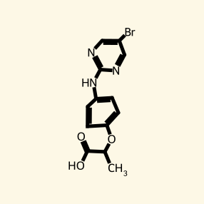 CC(Oc1ccc(Nc2ncc(Br)cn2)cc1)C(=O)O